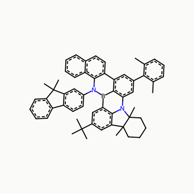 Cc1cccc(C)c1-c1cc2c3c(c1)N1c4c(cc(C(C)(C)C)cc4C4(C)CCCCC14C)B3N(c1ccc3c(c1)C(C)(C)c1ccccc1-3)c1c-2ccc2ccccc12